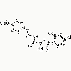 COc1ccc(/C=N/NC(=O)c2cc(-c3ccc(Cl)cc3Cl)n[nH]2)cc1